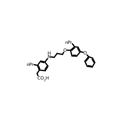 CCCc1cc(NCCCOc2ccc(Oc3ccccc3)cc2CCC)ccc1CC(=O)O